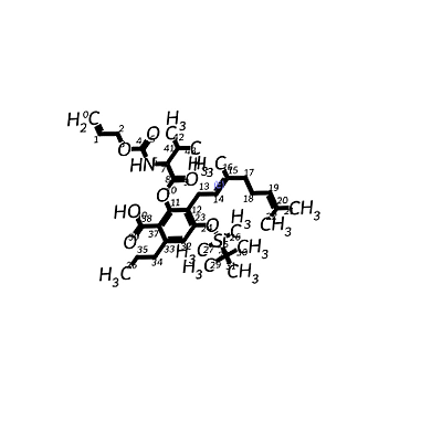 C=CCOC(=O)NC(C(=O)Oc1c(C/C=C(\C)CCC=C(C)C)c(O[Si](C)(C)C(C)(C)C)cc(CCC)c1C(=O)O)C(C)C